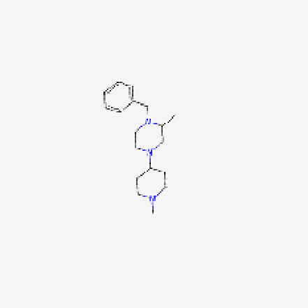 CC1CN(C2CCN(C)CC2)CCN1Cc1ccccc1